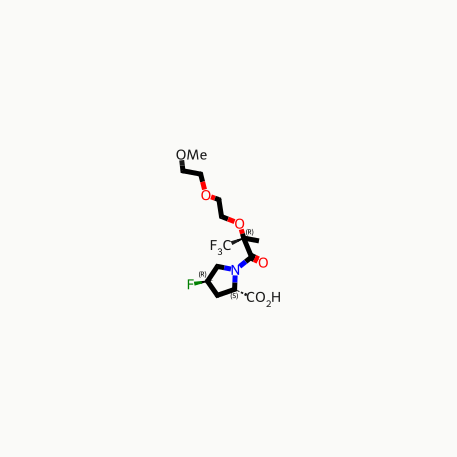 COCCOCCO[C@](C)(C(=O)N1C[C@H](F)C[C@H]1C(=O)O)C(F)(F)F